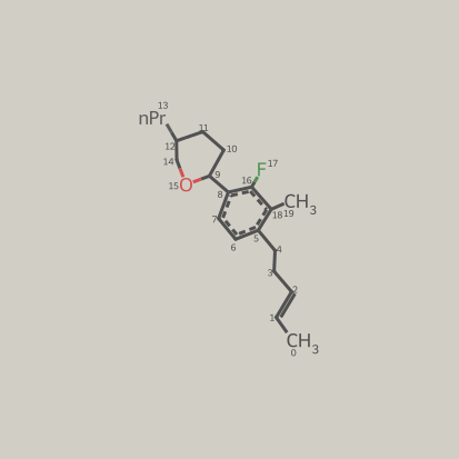 C/C=C/CCc1ccc(C2CCC(CCC)CO2)c(F)c1C